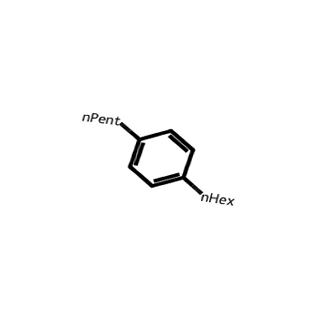 [CH2]CCCCc1ccc(CCCCCC)cc1